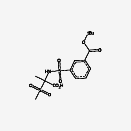 CC(C)(C)OC(=O)c1cccc(S(=O)(=O)NC(C)(C(=O)O)S(C)(=O)=O)c1